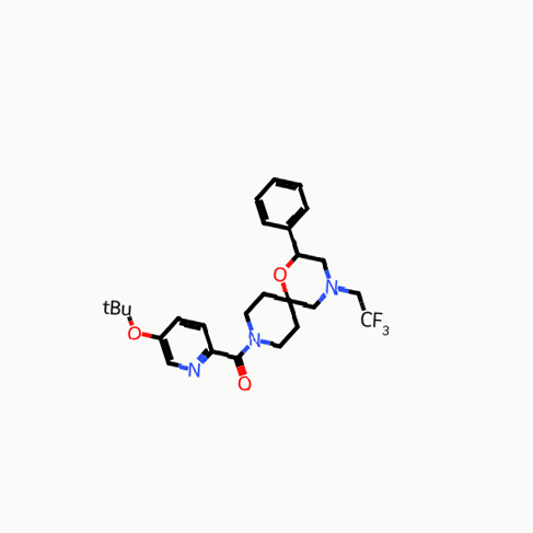 CC(C)(C)Oc1ccc(C(=O)N2CCC3(CC2)CN(CC(F)(F)F)CC(c2ccccc2)O3)nc1